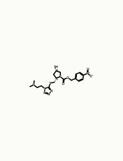 CN(C)CCn1nnnc1SC[C@@H]1C[C@H](S)CN1C(=O)OCc1ccc([N+](=O)[O-])cc1